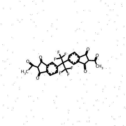 CC(=O)C1C(=O)c2ccc(C(c3ccc4c(c3)C(=O)C(C(C)=O)C4=O)(C(F)(F)F)C(F)(F)F)cc2C1=O